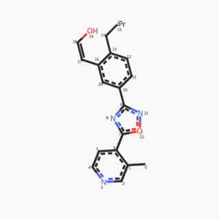 Cc1cnccc1-c1nc(-c2ccc(CC(C)C)c(/C=C\O)c2)no1